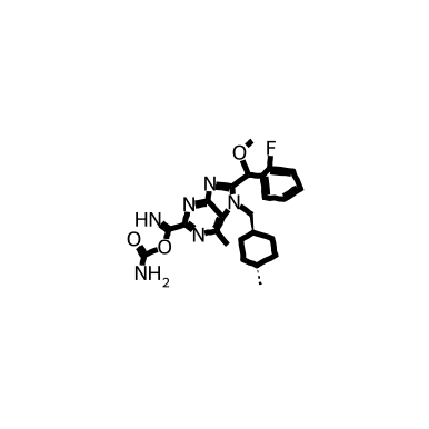 COC(c1ccccc1F)c1nc2nc(C(=N)OC(N)=O)nc(C)c2n1C[C@H]1CC[C@H](C)CC1